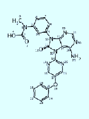 CN(C(=O)O)c1cccc(-n2c(=O)n(-c3ncc(Oc4ccccc4)cn3)c3c(N)ncnc32)c1